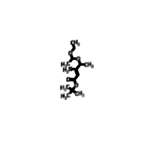 CCOC(C)OC(C)C(N)=CC(=O)OC(C)(C)C